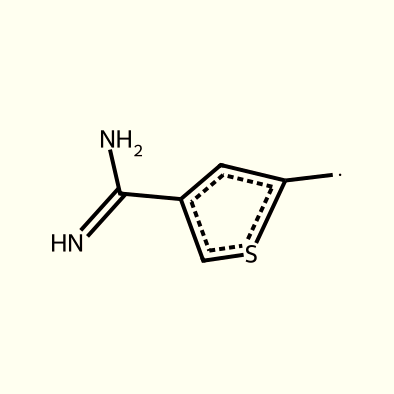 [CH2]c1cc(C(=N)N)cs1